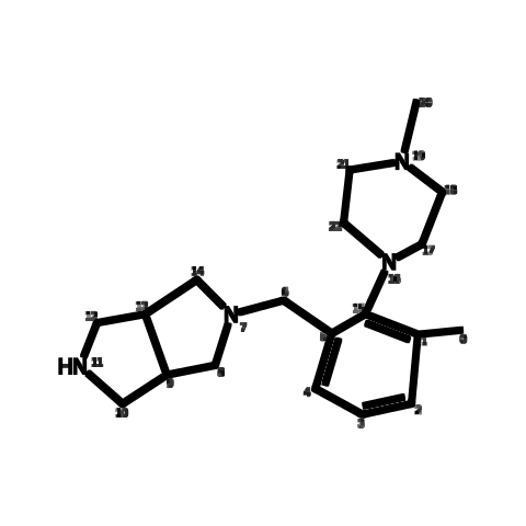 Cc1cccc(CN2CC3CNCC3C2)c1N1CCN(C)CC1